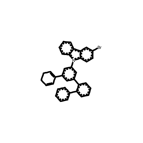 Brc1ccc2c(c1)c1ccccc1n2-c1cc(C2=CCCC=C2)cc(-c2ccccc2-c2ccccc2)c1